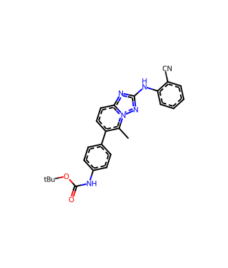 Cc1c(-c2ccc(NC(=O)OC(C)(C)C)cc2)ccc2nc(Nc3ccccc3C#N)nn12